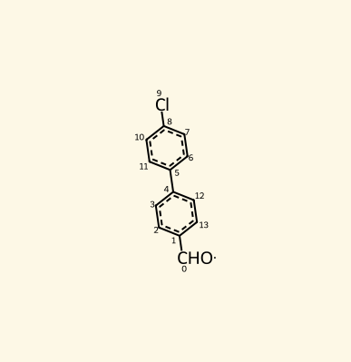 O=[C]c1ccc(-c2ccc(Cl)cc2)cc1